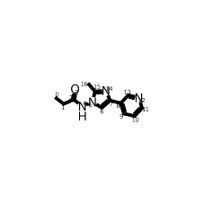 CCC(=O)Nn1cc(-c2cccnc2)nc1C